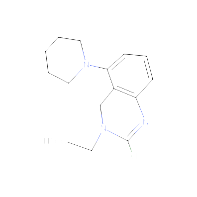 O=C(O)CN1Cc2c(cccc2N2CCCCC2)N=C1Cl